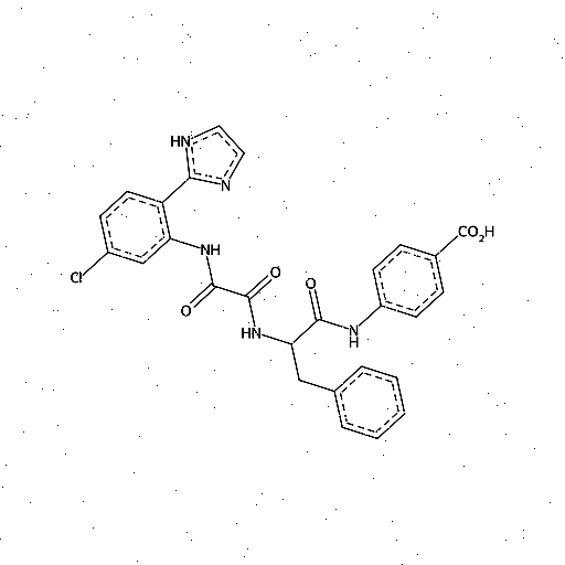 O=C(Nc1cc(Cl)ccc1-c1ncc[nH]1)C(=O)NC(Cc1ccccc1)C(=O)Nc1ccc(C(=O)O)cc1